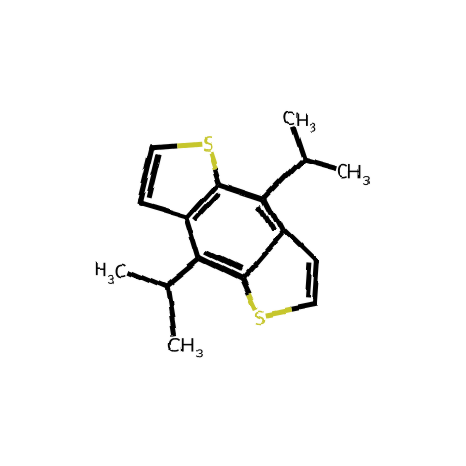 CC(C)c1c2ccsc2c(C(C)C)c2ccsc12